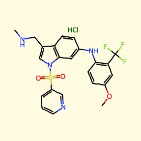 CNCc1cn(S(=O)(=O)c2cccnc2)c2cc(Nc3ccc(OC)cc3C(F)(F)F)ccc12.Cl